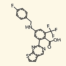 O=C(O)c1c(-c2ncc3ccsc3n2)cc(NCc2ccc(F)cc2)cc1C(F)(F)F